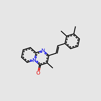 Cc1cccc(/C=C/c2nc3ccccn3c(=O)c2C)c1C